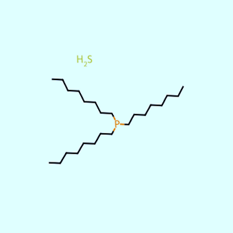 CCCCCCCCP(CCCCCCCC)CCCCCCCC.S